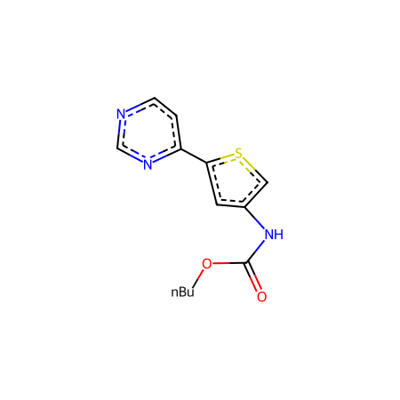 CCCCOC(=O)Nc1csc(-c2ccncn2)c1